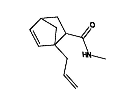 C=CCC12C=CC(CC1C(=O)NC)C2